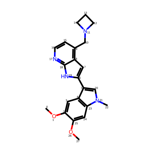 COc1cc2c(-c3cc4c(CN5CCC5)ccnc4[nH]3)cn(C)c2cc1OC